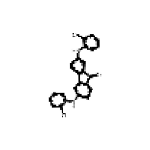 O=C1c2cc(Nc3ccccc3Cl)ccc2-c2cc(Nc3ccccc3Cl)ccc21